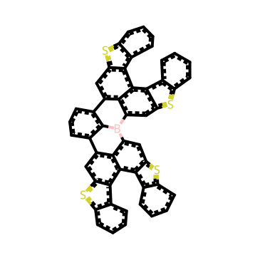 c1cc2c3c(c1)-c1cc4sc5ccccc5c4c4c1c(cc1sc5ccccc5c14)B3c1cc3sc4ccccc4c3c3c1c-2cc1sc2ccccc2c13